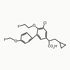 O=C(O)C(CC1CC1)c1cc(Cl)c(OCCF)c(-c2ccc(OCF)cc2)c1